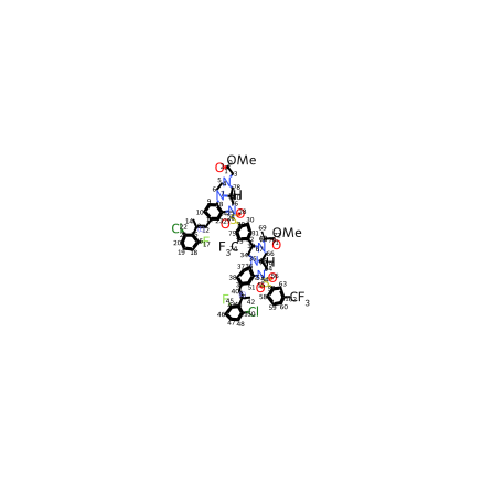 COC(=O)CN1CCN2c3ccc(/C=C(\C)c4c(F)cccc4Cl)cc3N(S(=O)(=O)c3ccc(C4CN5c6ccc(/C=C(\C)c7c(F)cccc7Cl)cc6N(S(=O)(=O)c6cccc(C(F)(F)F)c6)C[C@@H]5CN4[C@@H](C)C(=O)OC)c(C(F)(F)F)c3)C[C@@H]2C1